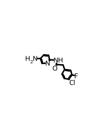 Nc1ccc(NC(=O)Cc2ccc(Cl)c(F)c2)nc1